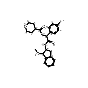 COC1c2ccccc2CC1NC(=O)C(NC(=O)C1CCOCC1)c1ccc(F)cc1